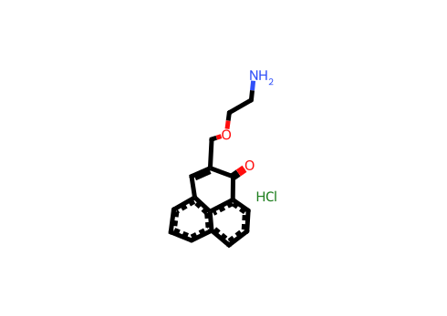 Cl.NCCOCC1=Cc2cccc3cccc(c23)C1=O